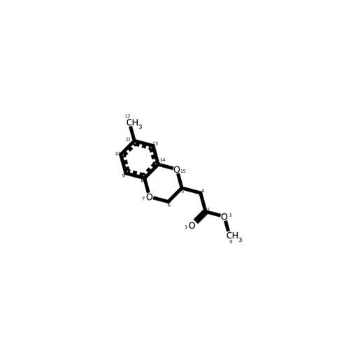 COC(=O)CC1COc2ccc(C)cc2O1